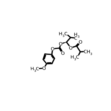 COc1ccc(OC(=O)O[C@H](OC(=O)C(C)C)C(C)C)cc1